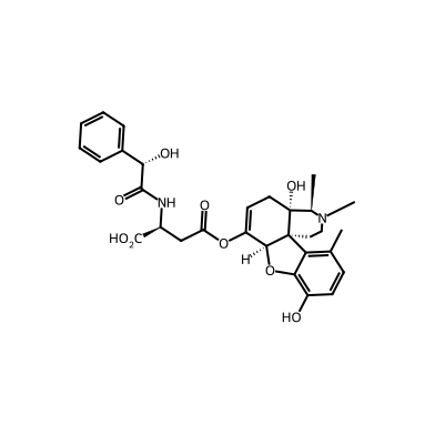 Cc1ccc(O)c2c1[C@]13CCN(C)[C@H](C)[C@]1(O)CC=C(OC(=O)C[C@H](NC(=O)[C@@H](O)c1ccccc1)C(=O)O)[C@@H]3O2